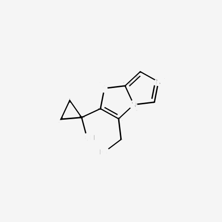 CC1(c2sc3cncn3c2CO)CC1